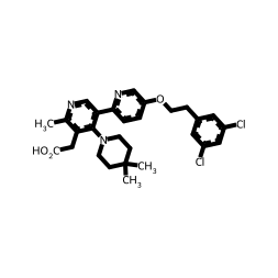 Cc1ncc(-c2ccc(OCCc3cc(Cl)cc(Cl)c3)cn2)c(N2CCC(C)(C)CC2)c1CC(=O)O